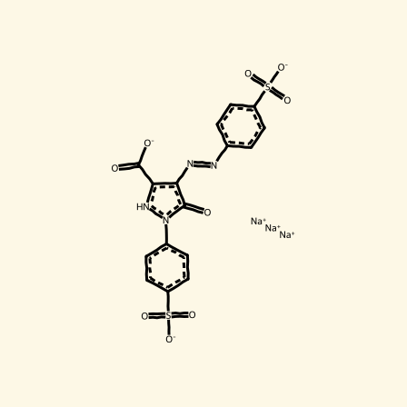 O=C([O-])c1[nH]n(-c2ccc(S(=O)(=O)[O-])cc2)c(=O)c1N=Nc1ccc(S(=O)(=O)[O-])cc1.[Na+].[Na+].[Na+]